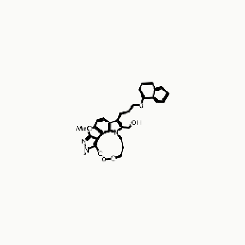 COc1ccc2c(CCCOc3cccc4ccccc34)c(CO)n3c2c1-c1c(C)nn(C)c1COCCCC3